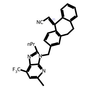 CCCc1nc2c(C(F)(F)F)cc(C)nc2n1Cc1ccc2c(c1)CCc1ccccc1/C2=C/C#N